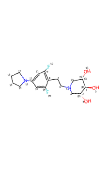 O[C@H]1[C@H](O)CN(CCc2c(F)cc(N3CCCC3)cc2F)C[C@@H]1O